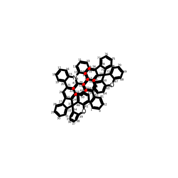 c1ccc(-c2ccc(-c3ccccc3N(c3ccccc3-c3ccc4c(c3)-c3ccccc3C43c4ccccc4Oc4ccccc43)c3ccccc3-c3ccc4c(c3)C3(c5ccccc5Oc5ccccc53)c3ccccc3-4)cc2)cc1